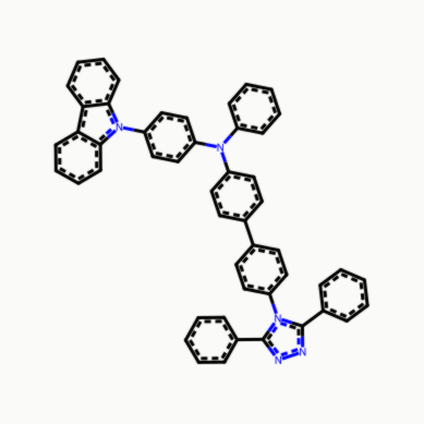 c1ccc(-c2nnc(-c3ccccc3)n2-c2ccc(-c3ccc(N(c4ccccc4)c4ccc(-n5c6ccccc6c6ccccc65)cc4)cc3)cc2)cc1